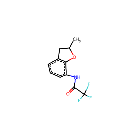 CC1Cc2cccc(NC(=O)C(F)(F)F)c2O1